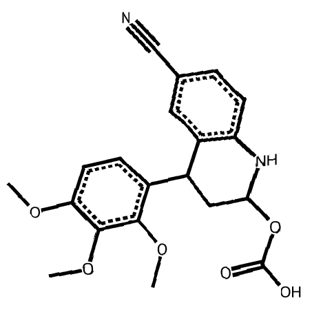 COc1ccc(C2CC(OC(=O)O)Nc3ccc(C#N)cc32)c(OC)c1OC